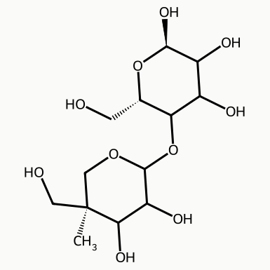 C[C@]1(CO)COC(OC2C(O)C(O)[C@H](O)O[C@H]2CO)C(O)C1O